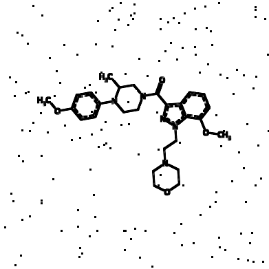 COc1ccc(N2CCN(C(=O)c3nn(CCN4CCOCC4)c4c(OC)cccc34)CC2C)cc1